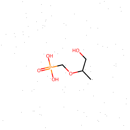 [CH2]C(CO)OCP(=O)(O)O